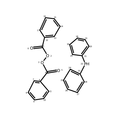 O=C(OOC(=O)c1ccccc1)c1ccccc1.c1ccc(Pc2ccccc2)cc1